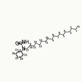 CCCCCCCCCCCCCCCCCCN(C(N)=O)c1ccccc1